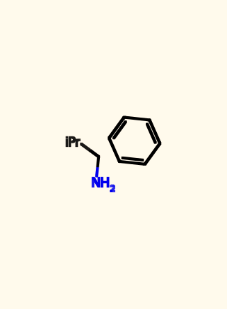 CC(C)CN.c1ccccc1